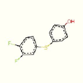 Oc1ccc(Sc2ccc(F)c(F)c2)cc1